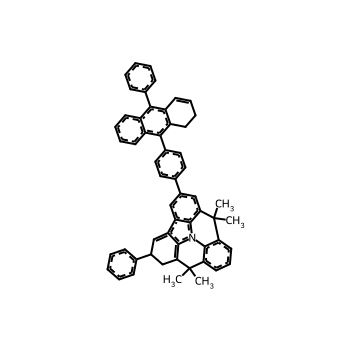 CC1(C)C2=c3c(c4cc(-c5ccc(-c6c7c(c(-c8ccccc8)c8ccccc68)C=CCC7)cc5)cc5c4n3-c3c1cccc3C5(C)C)=CC(c1ccccc1)C2